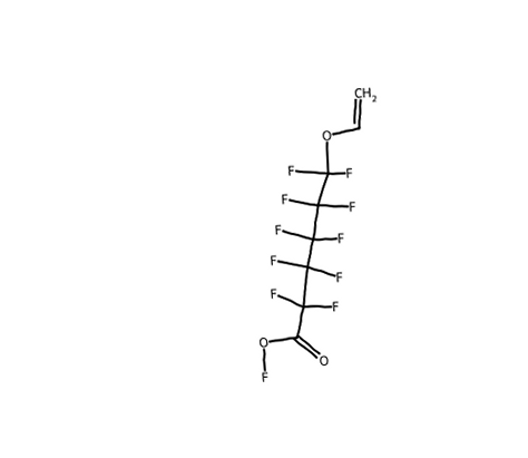 C=COC(F)(F)C(F)(F)C(F)(F)C(F)(F)C(F)(F)C(=O)OF